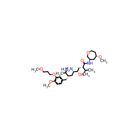 COCCCOc1cc(C[C@@H](C[C@H](N)[C@@H](O)C[C@H](C(=O)N[C@H]2COCC[C@H](OC)C2)C(C)C)C(C)C)ccc1OC